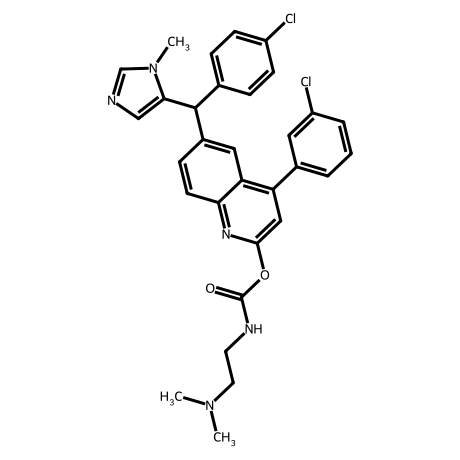 CN(C)CCNC(=O)Oc1cc(-c2cccc(Cl)c2)c2cc(C(c3ccc(Cl)cc3)c3cncn3C)ccc2n1